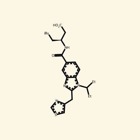 CCC(C)C[C@@H](CC(=O)O)NC(=O)c1ccc2c(c1)nc(Cc1cscn1)n2C(CC)CC